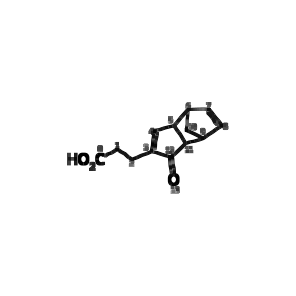 O=C(O)CCC1=CC2C3C=CC(C3)C2C1=O